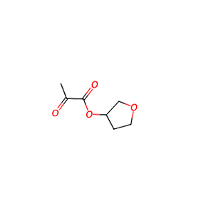 CC(=O)C(=O)OC1CCOC1